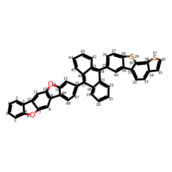 c1ccc2c(c1)oc1cc3c(cc12)oc1cc(-c2c4ccccc4c(-c4ccc5sc6c(ccc7ccsc76)c5c4)c4ccccc24)ccc13